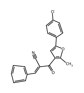 Cc1oc(-c2ccc(Cl)cc2)cc1C(=O)C(C#N)=Cc1ccccc1